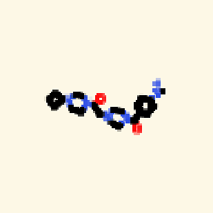 CNc1ccc(C(=O)N2CCN(CC(=O)N3CCN(C4CCC4)CC3)CC2)cc1